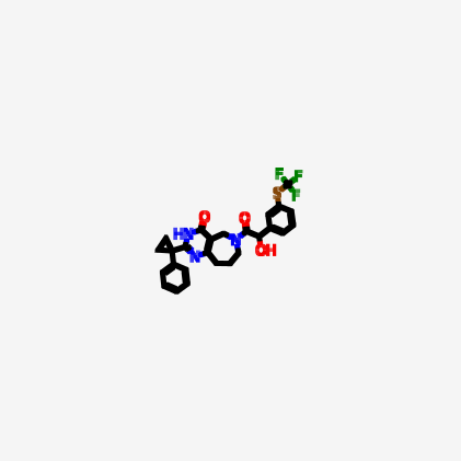 O=C(C(O)c1cccc(SC(F)(F)F)c1)N1CCCc2nc(C3(c4ccccc4)CC3)[nH]c(=O)c2C1